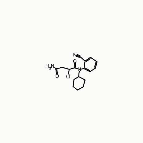 N#Cc1ccccc1N(C(=O)C(Cl)CC(N)=O)C1CCCCC1